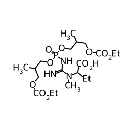 CCOC(=O)OCC(C)COP(=O)(NC(=N)N(C)C(CC)C(=O)O)OCC(C)COC(=O)OCC